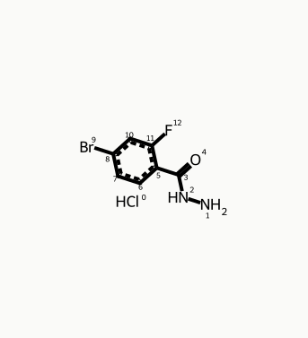 Cl.NNC(=O)c1ccc(Br)cc1F